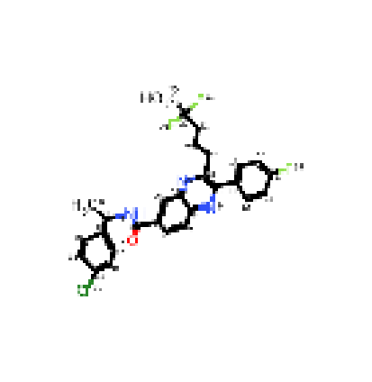 CC(NC(=O)c1ccc2nc(-c3ccc(F)cc3)c(CCCC(F)(F)C(=O)O)nc2c1)c1ccc(Cl)cc1